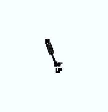 N#C[Se-].[Li+]